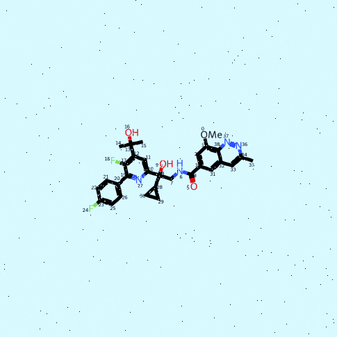 COc1cc(C(=O)NCC(O)(c2cc(C(C)(C)O)c(F)c(-c3ccc(F)cc3)n2)C2CC2)cc2cc(C)nnc12